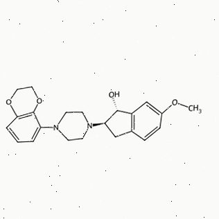 COc1ccc2c(c1)[C@@H](O)[C@H](N1CCN(c3cccc4c3OCCO4)CC1)C2